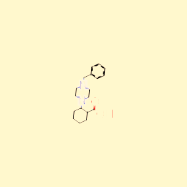 O=C(O)C1CCCCC1N1CCN(Cc2ccccc2)CC1